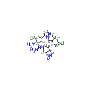 Nc1c(Cl)cc(-c2ccnn2Cc2ccc(Cl)cc2F)cc1N(N)c1ccc2cn[nH]c2c1